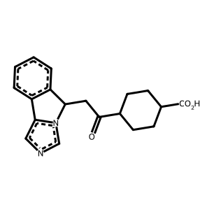 O=C(O)C1CCC(C(=O)CC2c3ccccc3-c3cncn32)CC1